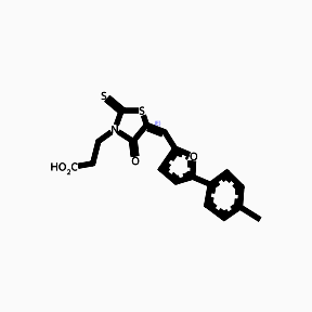 Cc1ccc(-c2ccc(/C=C3/SC(=S)N(CCC(=O)O)C3=O)o2)cc1